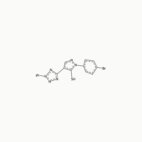 CC(C)n1nnc(-c2cnn(-c3ccc(Br)cc3)c2S)n1